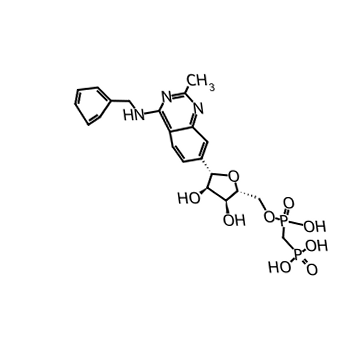 Cc1nc(NCc2ccccc2)c2ccc([C@@H]3O[C@H](COP(=O)(O)CP(=O)(O)O)[C@@H](O)[C@H]3O)cc2n1